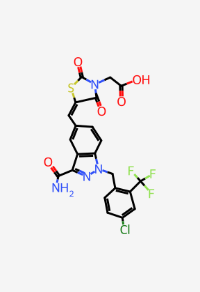 NC(=O)c1nn(Cc2ccc(Cl)cc2C(F)(F)F)c2ccc(C=C3SC(=O)N(CC(=O)O)C3=O)cc12